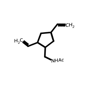 C=CC1CC(C=C)C(CNC(C)=O)C1